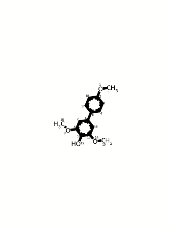 COc1ccc(-c2cc(OC)c(O)c(OC)c2)cc1